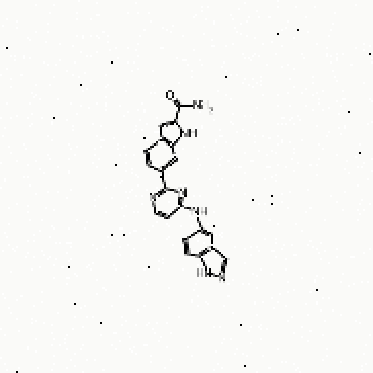 NC(=O)c1cc2ccc(-c3nccc(Nc4ccc5[nH]ncc5c4)n3)cc2[nH]1